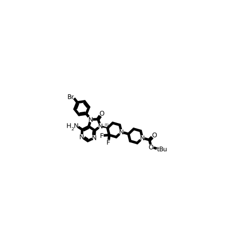 CC(C)(C)OC(=O)N1CCC(N2CC[C@H](n3c(=O)n(-c4ccc(Br)cc4)c4c(N)ncnc43)C(F)(F)C2)CC1